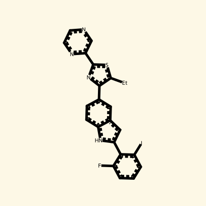 CCc1sc(-c2cnccn2)nc1-c1ccc2[nH]c(-c3c(F)cccc3I)cc2c1